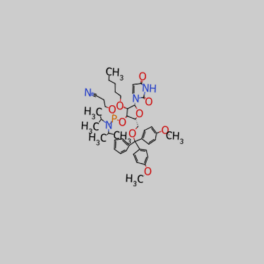 CCCCCO[C@@H]1[C@H](OP(OCCC#N)N(C(C)C)C(C)C)[C@@H](COC(c2ccccc2)(c2ccc(OC)cc2)c2ccc(OC)cc2)O[C@H]1n1ccc(=O)[nH]c1=O